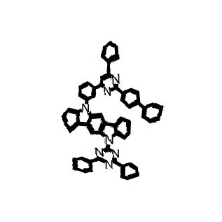 c1ccc(-c2ccc(-c3nc(-c4ccccc4)cc(-c4cccc(-n5c6ccccc6c6cc7c(cc65)c5ccccc5n7-c5nc(-c6ccccc6)nc(-c6ccccc6)n5)c4)n3)cc2)cc1